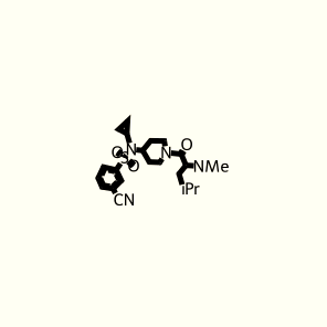 CNC(CC(C)C)C(=O)N1CCC(N(C2CC2)S(=O)(=O)c2cccc(C#N)c2)CC1